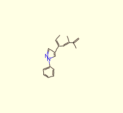 C=C(C)/C(C)=C/C(=C\C)c1cnn(-c2ccccc2)c1